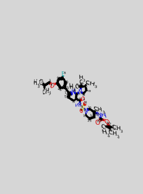 CC(C)COc1cc(F)cc(-c2ccc(C(=O)NS(=O)(=O)N3CCCC(C)(NC(=O)OC(C)(C)C)C3)c(N3CCC(C)C3(C)C)n2)c1